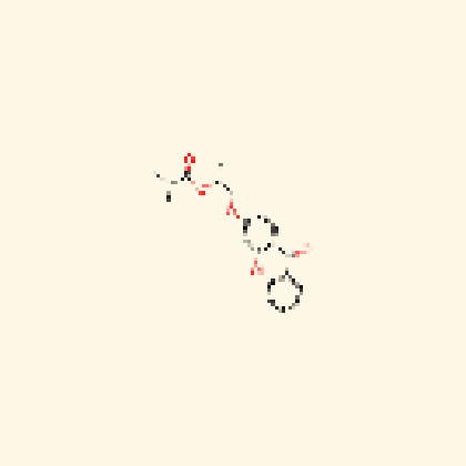 C=C(C)C(=O)OC(C)COc1ccc(C(=O)c2ccccc2)c(O)c1